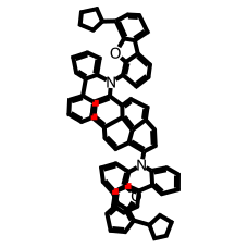 c1ccc(-c2ccccc2N(c2ccc3ccc4c(N(c5ccccc5-c5ccccc5)c5cccc6c5oc5c(C7CCCC7)cccc56)ccc5ccc2c3c54)c2cccc3c2oc2c(C4CCCC4)cccc23)cc1